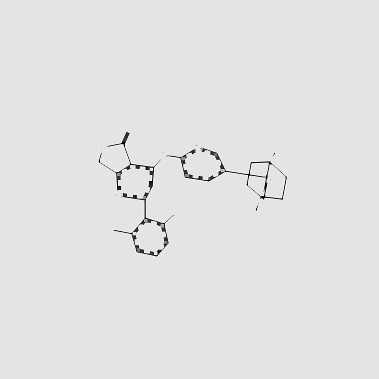 O=C1NCc2nc(-c3c(F)cccc3F)cc(Nc3ccc(N4C[C@H]5CC[C@H](CC5)C4)cn3)c21